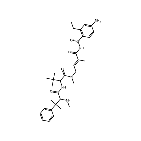 CCc1cc(N)ccc1[S+]([O-])NC(=O)/C(C)=C/CN(C)C(=O)C(NC(=O)C(NC)C(C)(C)c1ccccc1)C(C)(C)C